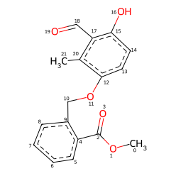 COC(=O)c1ccccc1COc1ccc(O)c(C=O)c1C